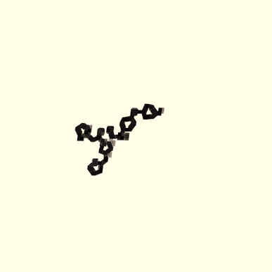 O=C(Nc1ccc(Oc2ccc(F)cc2)cc1)[C@@H]1C[C@@H](Cc2cccs2)CN1C(=O)Cn1nccn1